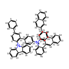 c1ccc(-c2ccc(-n3c4ccccc4c4ccccc43)c(-c3ccc(N(c4cccc(-c5ccc6ccccc6c5)c4)c4ccccc4-c4cc5ccccc5c5ccccc45)cc3)c2)cc1